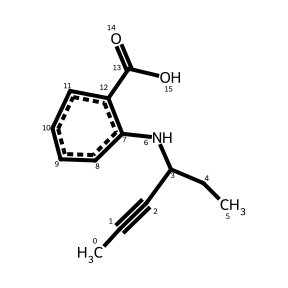 CC#CC(CC)Nc1ccccc1C(=O)O